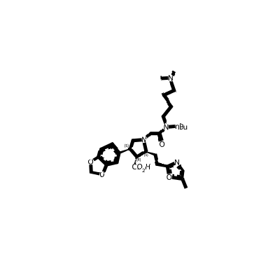 CCCCN(CCCCN(C)C)C(=O)CN1C[C@H](c2ccc3c(c2)OCO3)[C@@H](C(=O)O)[C@@H]1CCc1ncc(C)o1